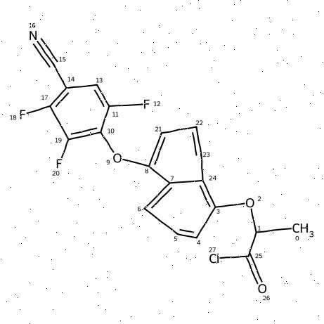 CC(Oc1cccc2c(Oc3c(F)cc(C#N)c(F)c3F)cccc12)C(=O)Cl